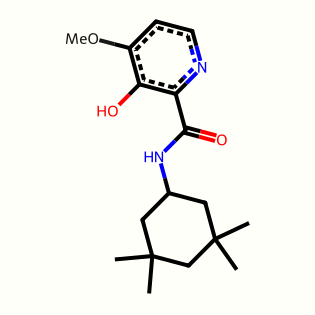 COc1ccnc(C(=O)NC2CC(C)(C)CC(C)(C)C2)c1O